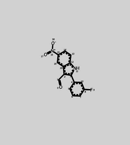 O=Cc1c(-c2cccc(F)c2)[nH]c2ccc([N+](=O)[O-])cc12